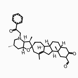 CC1=C2C[C@H]3[C@@H](CC[C@@H]4CC(=O)C(C=O)C[C@@]43C)[C@@H]2CC[C@@]2(C1)O[C@@H]1C[C@H](C)CN(CC(=O)c3ccccc3)[C@H]1[C@H]2C